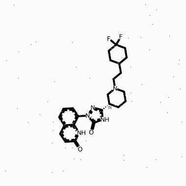 O=c1ccc2cccc(-n3nc([C@H]4CCCN(CCC5CCC(F)(F)CC5)C4)[nH]c3=O)c2[nH]1